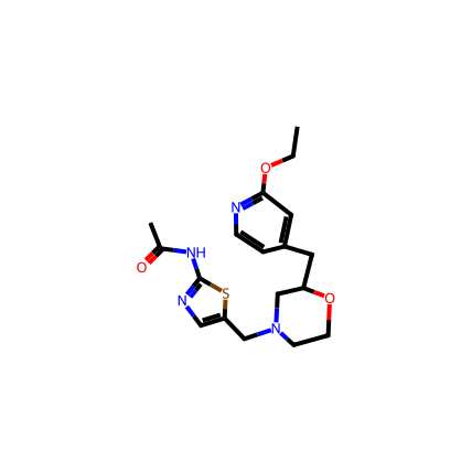 CCOc1cc(CC2CN(Cc3cnc(NC(C)=O)s3)CCO2)ccn1